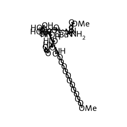 CCCCc1nc2c(N)nc3cc(C(=O)OC)ccc3c2n1CCCCCNC(=O)OCc1ccc(O[C@H]2O[C@H](CO)[C@@H](O)[C@H](O)[C@@H]2O)c(NC(=O)CCNC(=O)[C@H](CCCCNC(=O)CCOCCOCCOCCOCCOCCOCCOCCOCCOCCOCCOCCOC)NC(=O)CCN2C(=O)C=CC2=O)c1